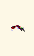 CN(c1ccc(C#N)c(Cl)c1)[C@H]1CC[C@H](NC(=O)c2ccc(N3CCC(CN4CC(N5Cc6cc7c(cc6C5)C(=O)N(C5CCC(=O)NC5=O)C7=O)C4)CC3)cc2)CC1